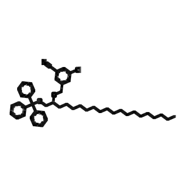 CCCCCCCCCCCCCCCCCCC(COC(c1ccccc1)(c1ccccc1)c1ccccc1)OCc1cc(Cl)cc(C#N)c1